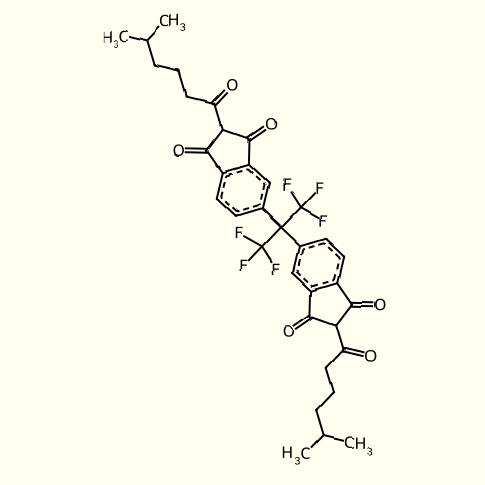 CC(C)CCCC(=O)C1C(=O)c2ccc(C(c3ccc4c(c3)C(=O)C(C(=O)CCCC(C)C)C4=O)(C(F)(F)F)C(F)(F)F)cc2C1=O